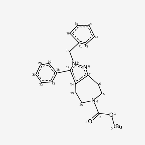 CC(C)(C)OC(=O)N1CCc2nn(Cc3ccccc3)c(-c3ccccc3)c2CC1